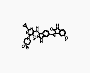 COc1ccc2c(c1)[C@]1(C[C@H]1c1ccc3c(Nc4nc(C5CC5)nc(N5CCS(=O)(=O)CC5)c4OC)n[nH]c3c1)C(=O)N2